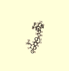 COC(=O)[C@@H](C)[C@H](c1ccc2c(c1)OC(C1CC3(C1)CN(c1ncccc1C(F)(F)F)C3)CC2)C1CC1